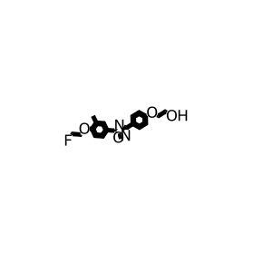 Cc1cc(-c2nc(-c3ccc(OCCO)cc3)no2)ccc1OCCF